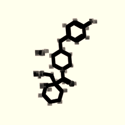 CC[C@@]1(C(=O)N2CCC(Cc3ccc(F)cc3)CC2)CCCCN1.Cl